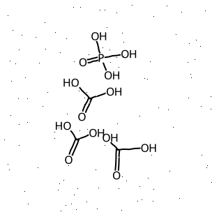 O=C(O)O.O=C(O)O.O=C(O)O.O=P(O)(O)O